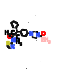 BC(=O)N1CCN(c2ccc(C(c3ccccc3)C(C)(C)C(=O)Nc3nccs3)cc2)CC1